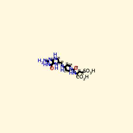 Nc1nc2c(c(=O)[nH]1)NC(CNC1=CCN(C(=O)N[C@@H](CCS(=O)(=O)O)C(=O)O)C=C1)CN2